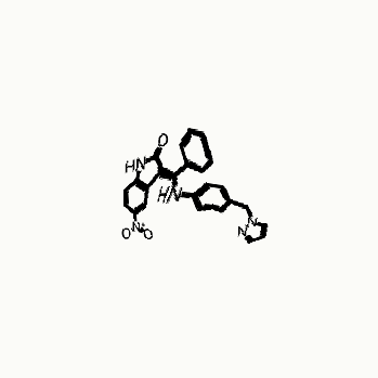 O=C1Nc2ccc([N+](=O)[O-])cc2C1=C(Nc1ccc(Cn2cccn2)cc1)c1ccccc1